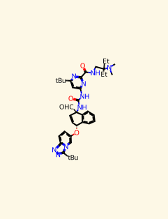 CCC(CC)(CNC(=O)c1nc(NC(=O)N[C@@]2(C=O)C=C[C@@H](Oc3ccc4nnc(C(C)(C)C)n4c3)c3ccccc32)cc(C(C)(C)C)n1)N(C)C